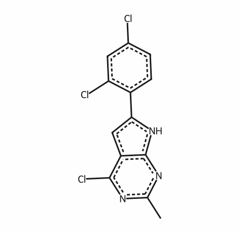 Cc1nc(Cl)c2cc(-c3ccc(Cl)cc3Cl)[nH]c2n1